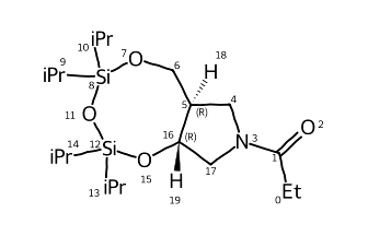 CCC(=O)N1C[C@@H]2CO[Si](C(C)C)(C(C)C)O[Si](C(C)C)(C(C)C)O[C@H]2C1